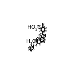 CN(C)C(CCn1ccnc1)Cc1ccc2nc(-c3ccc(F)c(C(=O)O)c3)sc2c1